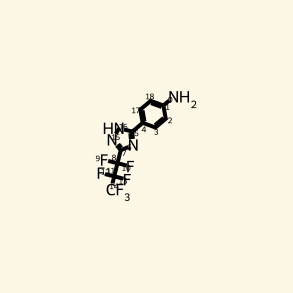 Nc1ccc(-c2nc(C(F)(F)C(F)(F)C(F)(F)F)n[nH]2)cc1